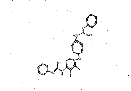 Cc1c(NC(S)=Nc2ccccc2)ccc(Oc2ccc(NC(S)=Nc3ccccc3)cc2)c1C